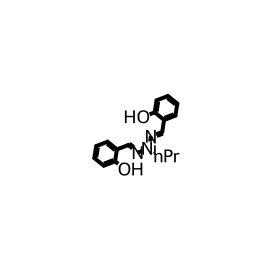 C[CH][CH2][Ni]([N]=Cc1ccccc1O)[N]=Cc1ccccc1O